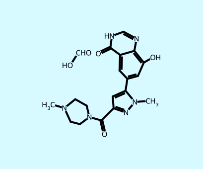 CN1CCN(C(=O)c2cc(-c3cc(O)c4nc[nH]c(=O)c4c3)n(C)n2)CC1.O=CO